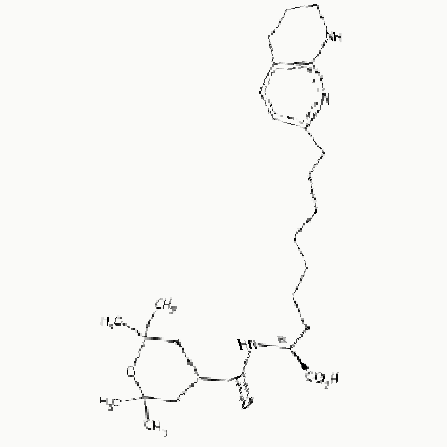 CC1(C)CC(C(=O)N[C@@H](CCCCCCCc2ccc3c(n2)NCCC3)C(=O)O)CC(C)(C)O1